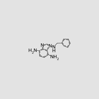 Nc1ccc(N)c2c1ncn2NCc1ccccc1